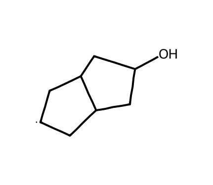 OC1CC2C[CH]CC2C1